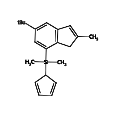 CC1=Cc2cc(C(C)(C)C)cc([Si](C)(C)C3C=CC=C3)c2C1